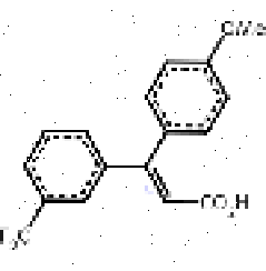 COc1ccc(/C(=C\C(=O)O)c2cccc(C(F)(F)F)c2)cc1